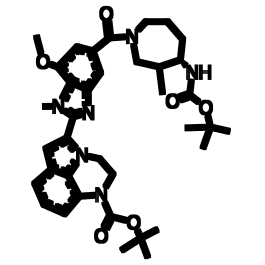 COc1cc(C(=O)N2CCC[C@@H](NC(=O)OC(C)(C)C)C(C)C2)cc2nc(-c3cc4cccc5c4n3CCN5C(=O)OC(C)(C)C)n(C)c12